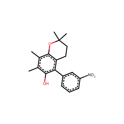 Cc1c(C)c2c(c(-c3cccc([N+](=O)[O-])c3)c1O)CCC(C)(C)O2